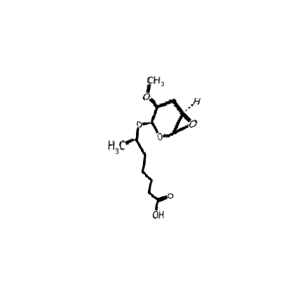 COC1C[C@H]2OC2O[C@H]1O[C@H](C)CCCCC(=O)O